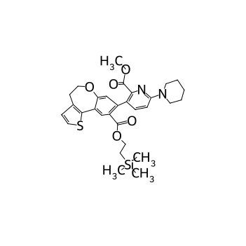 COC(=O)c1nc(N2CCCCC2)ccc1-c1cc2c(cc1C(=O)OCC[Si](C)(C)C)-c1sccc1CCO2